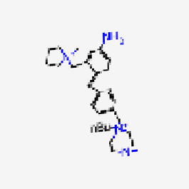 CCCC[N+]1(Cc2ccc(C=C3CC=C(N)C=C3C[N+]3(C)CCCC3)cc2)CCNCC1